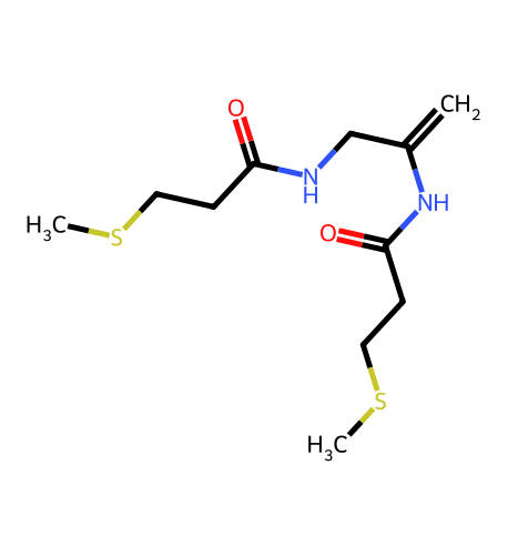 C=C(CNC(=O)CCSC)NC(=O)CCSC